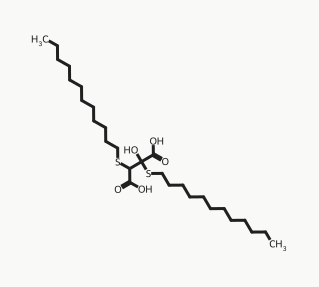 CCCCCCCCCCCCSC(C(=O)O)C(O)(SCCCCCCCCCCCC)C(=O)O